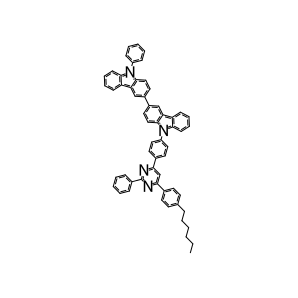 CCCCCCc1ccc(-c2cc(-c3ccc(-n4c5ccccc5c5cc(-c6ccc7c(c6)c6ccccc6n7-c6ccccc6)ccc54)cc3)nc(-c3ccccc3)n2)cc1